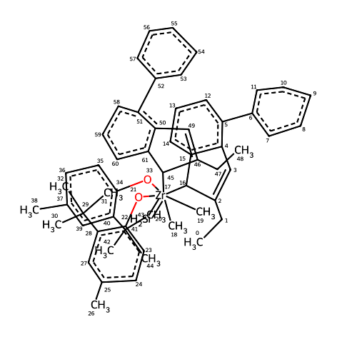 CCC1=Cc2c(-c3ccccc3)cccc2[CH]1[Zr]([CH3])([CH3])(=[SiH2])([O]c1ccc(C)cc1C(C)(C)C)([O]c1ccc(C)cc1C(C)(C)C)[CH]1C(CC)=Cc2c(-c3ccccc3)cccc21